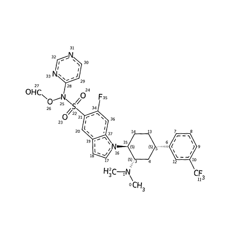 CN(C)[C@H]1C[C@@H](c2cccc(C(F)(F)F)c2)CC[C@@H]1n1ccc2cc(S(=O)(=O)N(OC=O)c3ccncn3)c(F)cc21